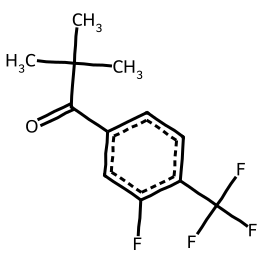 CC(C)(C)C(=O)c1ccc(C(F)(F)F)c(F)c1